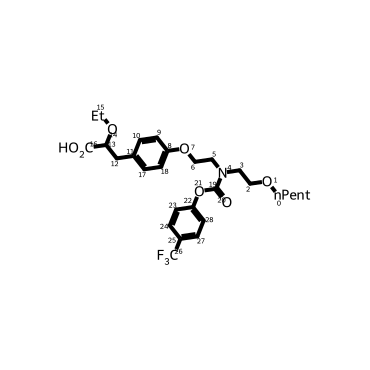 CCCCCOCCN(CCOc1ccc(CC(OCC)C(=O)O)cc1)C(=O)Oc1ccc(C(F)(F)F)cc1